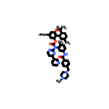 C=C(C)C1CCC(C)=CC1c1c(O)cc(CCCCC)cc1OC(=O)N(c1nccc(-c2cccnc2)n1)c1cc(NC(=O)c2ccc(CN3CCN(C)CC3)cc2)ccc1C